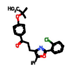 CC(C)c1oc(-c2ccccc2Cl)nc1CCC(=O)c1ccc(OC(C)(C)C(=O)O)cc1